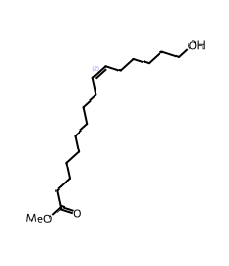 COC(=O)CCCCCCCC/C=C\CCCCCO